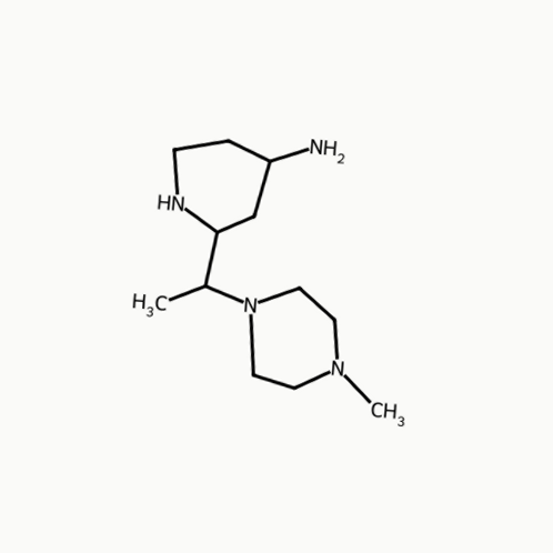 CC(C1CC(N)CCN1)N1CCN(C)CC1